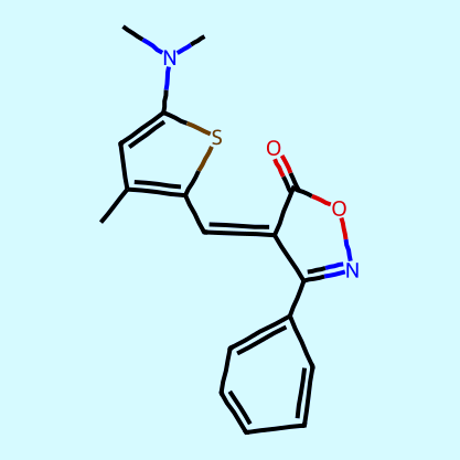 Cc1cc(N(C)C)sc1/C=C1\C(=O)ON=C1c1ccccc1